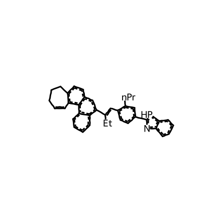 CCCc1cc(-c2nc3ccccc3[pH]2)ccc1/C=C(\CC)c1cc2ccc3c(c2c2ccccc12)C=CCCC3